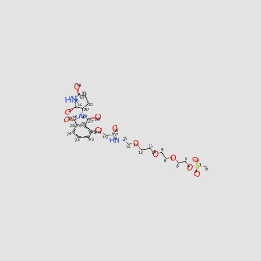 CS(=O)(=O)OCCOCCOCCOCCNC(=O)COc1cccc2c1C(=O)N(C1CCC(=O)NC1=O)C2=O